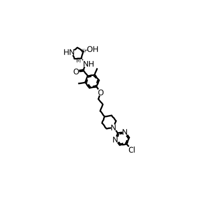 Cc1cc(OCCCC2CCN(c3ncc(Cl)cn3)CC2)cc(C)c1C(=O)N[C@@H]1CNC[C@@H]1O